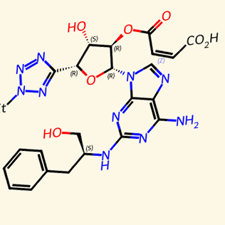 CCn1nnc([C@H]2O[C@@H](n3cnc4c(N)nc(N[C@H](CO)Cc5ccccc5)nc43)[C@H](OC(=O)/C=C\C(=O)O)[C@H]2O)n1